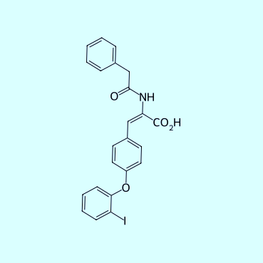 O=C(Cc1ccccc1)NC(=Cc1ccc(Oc2ccccc2I)cc1)C(=O)O